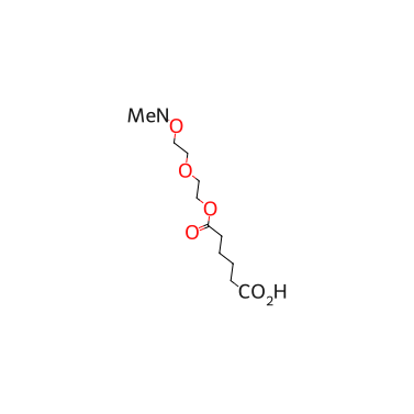 CNOCCOCCOC(=O)CCCCC(=O)O